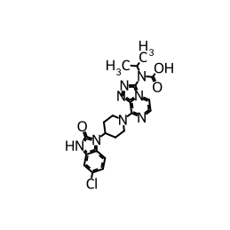 CC(C)N(C(=O)O)c1nnc2c(N3CCC(n4c(=O)[nH]c5cc(Cl)ccc54)CC3)nccn12